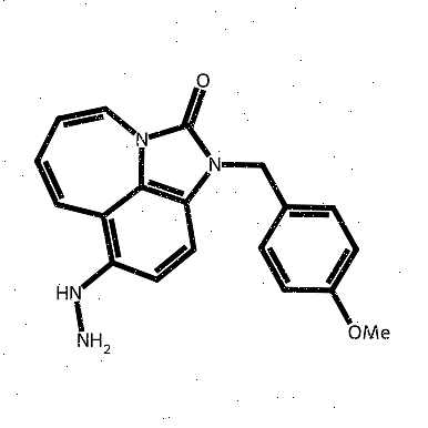 COc1ccc(Cn2c(=O)n3c4c(c(NN)ccc42)C=CC=C3)cc1